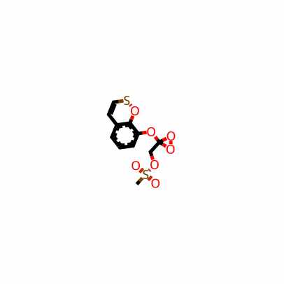 CS(=O)(=O)OCC1(Oc2cccc3c2OSC=C3)OO1